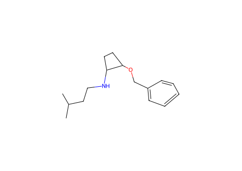 CC(C)CCNC1CCC1OCc1ccccc1